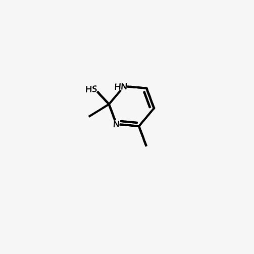 CC1=NC(C)(S)NC=C1